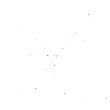 CCCCCCCCC(CCCCCC)C(=O)OCCN(CCOC(=O)C(CCCCCC)CCCCCCCC)C(=O)OCCSSCCOC(=O)NCCN1CCCCCC1